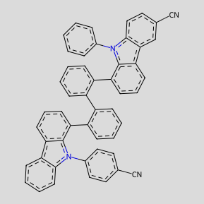 N#Cc1ccc(-n2c3ccccc3c3cccc(-c4ccccc4-c4ccccc4-c4cccc5c6cc(C#N)ccc6n(-c6ccccc6)c45)c32)cc1